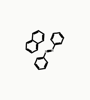 c1ccc(N=Nc2ccccc2)cc1.c1ccc2ccccc2c1